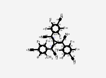 Cc1c(F)c(C#N)c(F)c(F)c1/C(C#N)=C1/C(=C(C#N)c2c(F)c(F)c(C#N)c(F)c2F)/C1=C(/C#N)c1c(F)c(F)c(C#N)c(F)c1F